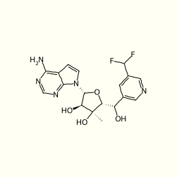 C[C@@]1(O)[C@@H](C(O)c2cncc(C(F)F)c2)O[C@@H](n2ccc3c(N)ncnc32)[C@@H]1O